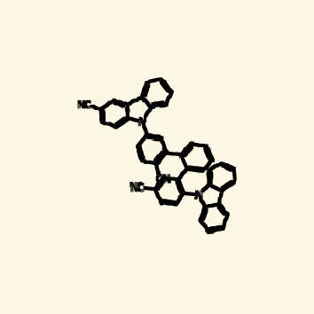 N#Cc1ccc(-n2c3ccccc3c3ccccc32)c(-c2ccccc2-c2cc(-n3c4ccccc4c4cc(C#N)ccc43)ccc2C#N)c1